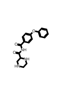 O=C(NC(=O)C1CNCCN1)c1ccc(Oc2ccccc2)cc1